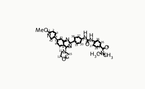 COc1ccc(-c2ccc3c(N4CCOCC4)nc(-c4ccc(NC(=O)Nc5ccc(C(=O)N(C)C)cc5)cc4)nc3c2)cn1